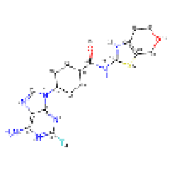 Nc1nc(F)nc2c1ncn2C1CCC(C(=O)Nc2nc3c(s2)COCC3)CC1